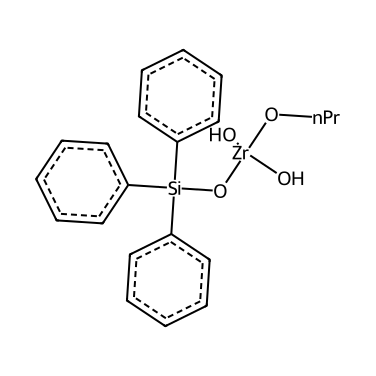 CCC[O][Zr]([OH])([OH])[O][Si](c1ccccc1)(c1ccccc1)c1ccccc1